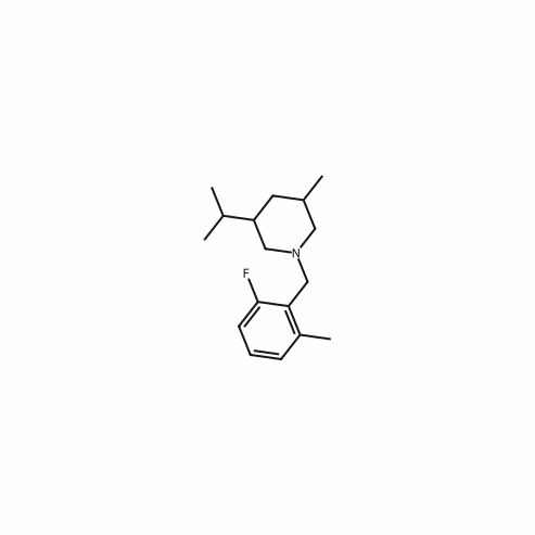 Cc1cccc(F)c1CN1CC(C)CC(C(C)C)C1